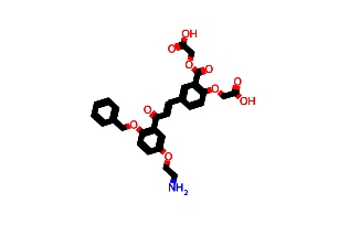 NCCOc1ccc(OCc2ccccc2)c(C(=O)C=Cc2ccc(OCC(=O)O)c(C(=O)OCC(=O)O)c2)c1